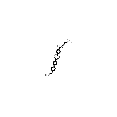 CCCCCOC(=O)c1ccc(C2OCC(c3ccc([C@H]4CC[C@H](CCC)CC4)cc3)CO2)cc1